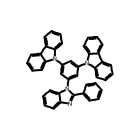 c1ccc(-c2nc3ccccc3n2-c2cc(-n3c4ccccc4c4ccccc43)cc(-n3c4ccccc4c4ccccc43)c2)cc1